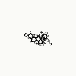 C[C@]12CCC(=O)C=C1CCC1C2=CC[C@@]2(C)[C@H]1CC[C@]2(C)c1cccc(F)c1